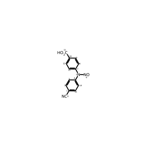 N#Cc1ccc(N(N=O)c2ccc(C(=O)O)cc2)cc1